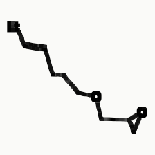 [CH2]CC=CCCCOCC1CO1